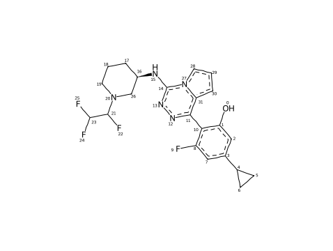 Oc1cc(C2CC2)cc(F)c1-c1nnc(N[C@@H]2CCCN(C(F)C(F)F)C2)n2cccc12